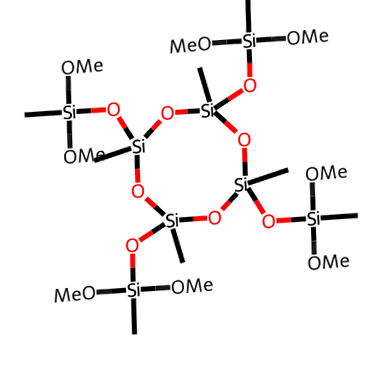 CO[Si](C)(OC)O[Si]1(C)O[Si](C)(O[Si](C)(OC)OC)O[Si](C)(O[Si](C)(OC)OC)O[Si](C)(O[Si](C)(OC)OC)O1